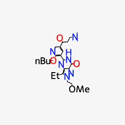 CCCCOc1ncc(C(=O)CCN(C)C)cc1-c1nc2c(CC)n(CCOC)nc2c(=O)[nH]1